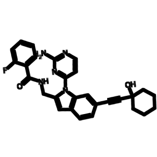 Nc1nccc(-n2c(CNC(=O)c3ccccc3F)cc3ccc(C#CC4(O)CCCCC4)cc32)n1